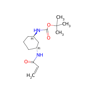 C=CC(=O)N[C@@H]1CCC[C@@H](NC(=O)OC(C)(C)C)C1